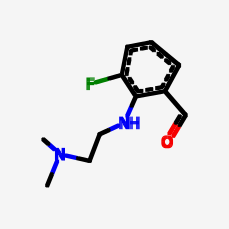 CN(C)CCNc1c(F)cccc1C=O